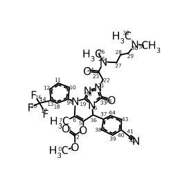 COC(=O)OC1=C(C)N(c2cccc(C(F)(F)F)c2)c2nn(CC(=O)N(C)CCCN(C)C)c(=O)n2C1c1ccc(C#N)cc1